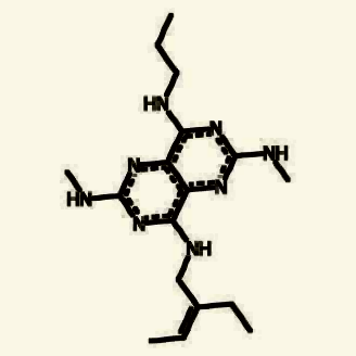 C/C=C(/CC)CNc1nc(NC)nc2c(NCCC)nc(NC)nc12